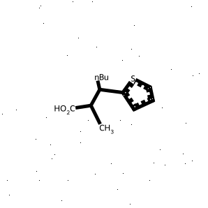 CCCCC(c1cccs1)C(C)C(=O)O